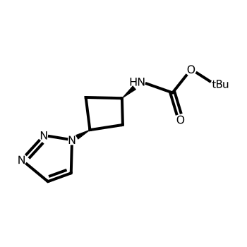 CC(C)(C)OC(=O)N[C@H]1C[C@@H](n2ccnn2)C1